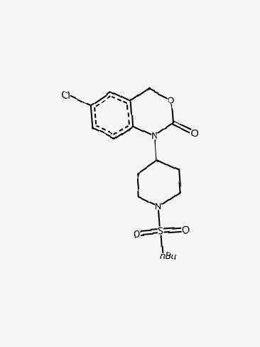 CCCCS(=O)(=O)N1CCC(N2C(=O)OCc3cc(Cl)ccc32)CC1